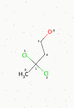 CC(Cl)(Cl)CC[O]